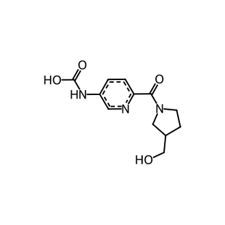 O=C(O)Nc1ccc(C(=O)N2CCC(CO)C2)nc1